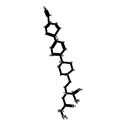 CNC(=O)CN(CCN1CCN(c2ccc(-c3ccc(C#N)cc3)cn2)CC1)C(=O)O